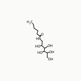 CCCCCC(=O)NCC(O)C(O)C(O)C(O)CO